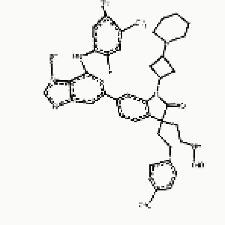 Cc1cc(F)c(Nc2nc(-c3ccc4c(c3)N(C3CC(N5CCCCC5)C3)C(=O)C4(CCNC=O)CCc3ccc(C=O)cc3)cc3ncn(C(C)C)c23)cc1C(C)C